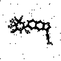 CC#Cc1coc2cc3ccc([C@]4(C)CS(=O)(=O)C(C)(C)C(=N)N4)cc3cc12